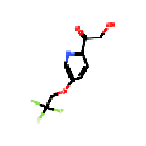 O=C(CO)c1ccc(OCC(F)(F)F)cn1